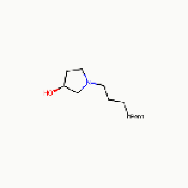 CCCCCCCCN1CC[C@H](O)C1